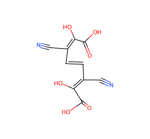 N#CC(C=CC(C#N)=C(O)C(=O)O)=C(O)C(=O)O